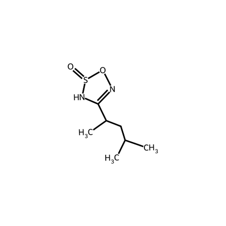 CC(C)CC(C)C1=NOS(=O)N1